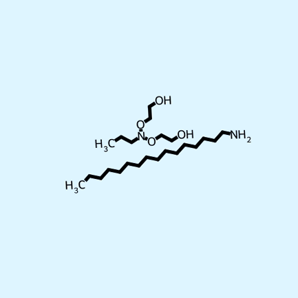 CCCCCCCCCCCCCCCCN.CCCN(OCCO)OCCO